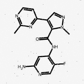 Cc1nccc(-c2cnn(C)c2C(=O)Nc2cc(N)ncc2F)n1